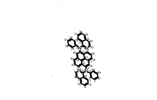 c1ccc(N(c2nccc3ccccc23)c2cc3cccc4c(N(c5ccccc5)c5nccc6ccccc56)cc5cccc2c5c34)cc1